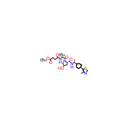 Cc1ncsc1-c1ccc([C@H](C)NC(=O)[C@@H]2C[C@@H](O)CN2C(=O)[C@@H](NC(=O)CCC(=O)OC(C)(C)C)C(C)(C)C)cc1